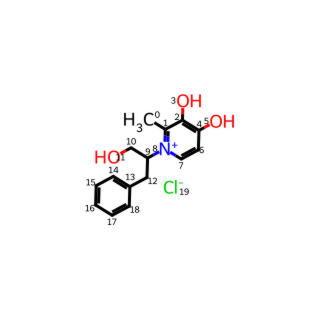 Cc1c(O)c(O)cc[n+]1C(CO)Cc1ccccc1.[Cl-]